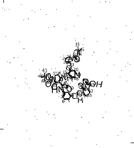 COc1c(Cl)cccc1NC(=S)C1=C(NCc2ccncc2OC[C@H]2CCCN2C(=O)OC(C)(C)C)CCN(C(=O)OC(C)(C)C)C1=O.O=C(O)N1CCC=C(O)C1=O